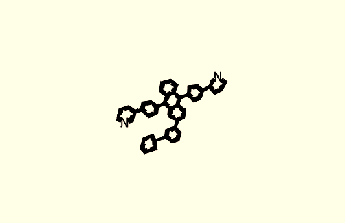 c1ccc(-c2cccc(-c3ccc4c(-c5ccc(-c6cccnc6)cc5)c5ccccc5c(-c5ccc(-c6cccnc6)cc5)c4c3)c2)cc1